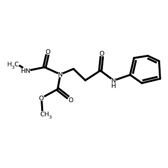 CNC(=O)N(CCC(=O)Nc1ccccc1)C(=O)OC